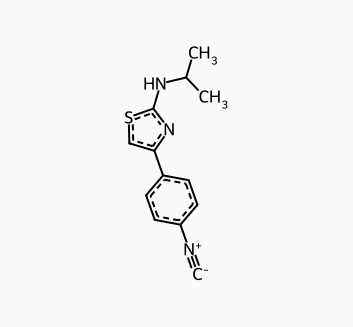 [C-]#[N+]c1ccc(-c2csc(NC(C)C)n2)cc1